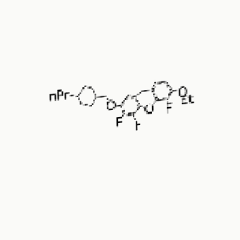 CCCC1CCC(COc2cc3c(c(F)c2F)Oc2c(ccc(OCC)c2F)C3)CC1